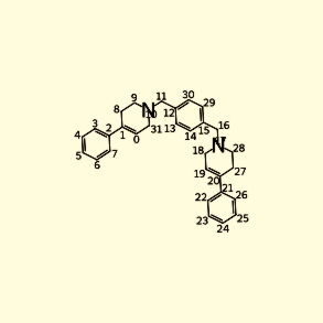 C1=C(c2ccccc2)CCN(Cc2ccc(CN3CC=C(c4ccccc4)CC3)cc2)C1